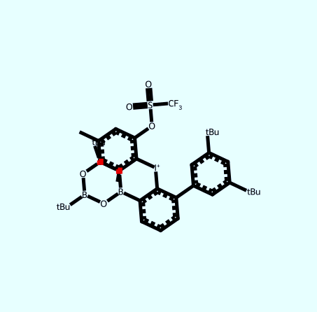 Cc1cc(C)c([I+]c2c(B3OB(C(C)(C)C)OB(C(C)(C)C)O3)cccc2-c2cc(C(C)(C)C)cc(C(C)(C)C)c2)c(OS(=O)(=O)C(F)(F)F)c1